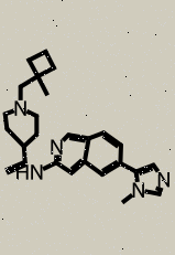 C=C(Nc1cc2cc(-c3cncn3C)ccc2cn1)C1CCN(CC2(C)CCC2)CC1